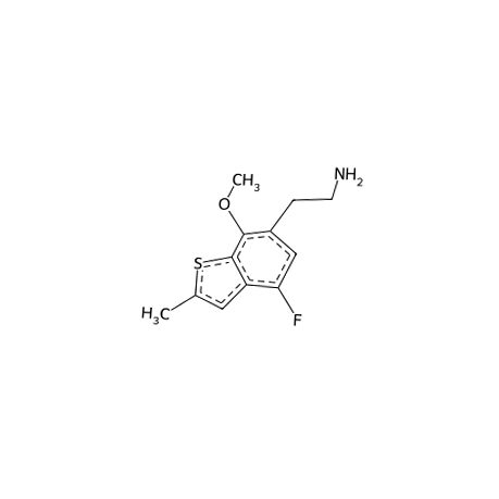 COc1c(CCN)cc(F)c2cc(C)sc12